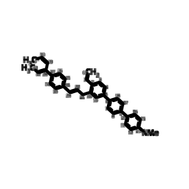 C=Cc1ccc(-c2ccc(-c3ccc(NC)cc3)cc2)cc1CC=Cc1ccc(C(/C=C\C)=C/C)cc1